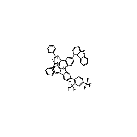 FC(F)(F)c1ccc(-c2ccc3c4ccccc4n(-c4ccc(-c5cccc6sc7ccccc7c56)cc4-c4nc(-c5ccccc5)nc(-c5ccccc5)n4)c3c2)c(C(F)(F)F)c1